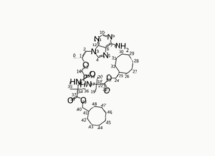 C[C@H](Cn1cnc2c(N)ncnc21)OCP(=O)(NC(C)(C)C(=O)OCC1CCCCCCC1)NC(C)(C)C(=O)OCC1CCCCCCC1